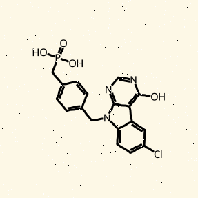 O=P(O)(O)Cc1ccc(Cn2c3ccc(Cl)cc3c3c(O)ncnc32)cc1